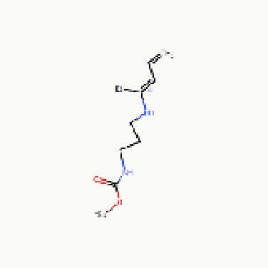 C=C/C=C(\CC)NCCCNC(=O)OC(C)(C)C